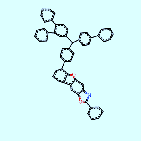 c1ccc(-c2ccc(C(c3ccc(-c4cccc5c4oc4cc6nc(-c7ccccc7)oc6cc45)cc3)c3ccc(-c4ccccc4)c(-c4ccccc4)c3)cc2)cc1